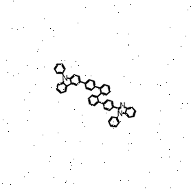 c1ccc(-n2c(-c3ccc(-c4ccccc4-c4ccccc4-c4ccc(-c5ccc6c(c5)c5ccccc5n6-c5ccccc5)cc4)cc3)nc3ccccc32)cc1